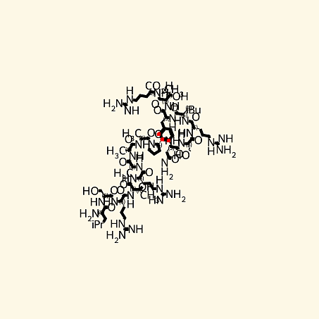 CC[C@H](C)[C@H](NC(=O)[C@H](CCCNC(=N)N)NC(=O)[C@H](CO)NC(=O)[C@H](CC(N)=O)NC(=O)[C@@H]1CCCN1C(=O)[C@H](C)NC(=O)[C@H](C)NC(=O)[C@H](C)NC(=O)[C@H](CCCNC(=N)N)NC(=O)[C@@H](NC(=O)[C@H](CCCNC(=N)N)NC(=O)[C@H](CO)NC(=O)[C@@H](N)CC(C)C)[C@@H](C)O)C(=O)N[C@@H](Cc1ccccc1)C(=O)N[C@H](C(=O)N[C@@H](CCCNC(=N)N)C(=O)O)[C@@H](C)O